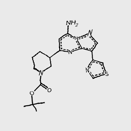 CC(C)(C)OC(=O)N1CCCC(c2cc(N)n3ncc(-c4cscn4)c3n2)C1